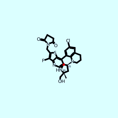 C[C@]1(CO)C[C@H](N2CCCc3cc(Cl)cc(-c4ccnc5c(F)c(CN6C(=O)CCC6=O)sc45)c32)CN1